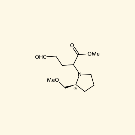 COC[C@@H]1CCCN1C(CCC=O)C(=O)OC